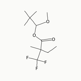 CCC(C)(C(=O)OC(OC)C(C)(C)C)C(F)(F)F